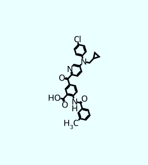 Cc1cccc(C(=O)Nc2ccc(C(=O)c3ccc(N(CC4CC4)c4ccc(Cl)cc4)cn3)cc2C(=O)O)c1